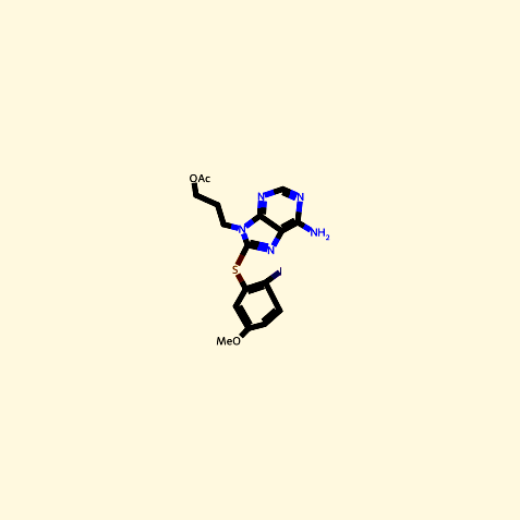 COc1ccc(I)c(Sc2nc3c(N)ncnc3n2CCCOC(C)=O)c1